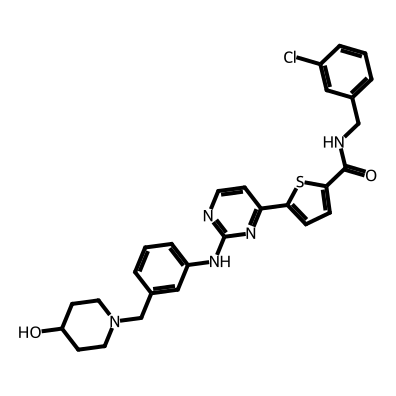 O=C(NCc1cccc(Cl)c1)c1ccc(-c2ccnc(Nc3cccc(CN4CCC(O)CC4)c3)n2)s1